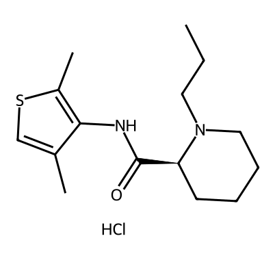 CCCN1CCCC[C@H]1C(=O)Nc1c(C)csc1C.Cl